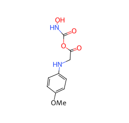 COc1ccc(NCC(=O)OC(=O)NO)cc1